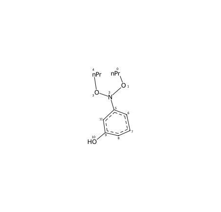 CCCON(OCCC)c1cccc(O)c1